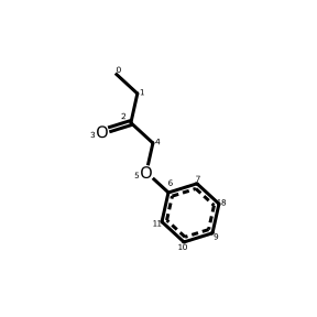 CCC(=O)COc1c[c]ccc1